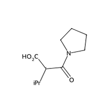 CC(C)[C](C(=O)O)C(=O)N1CCCC1